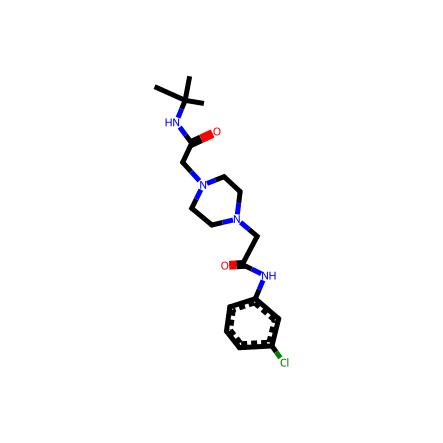 CC(C)(C)NC(=O)CN1CCN(CC(=O)Nc2cccc(Cl)c2)CC1